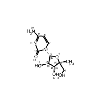 C[C@]1(CO)O[C@@H](n2ccc(N)nc2=O)[C@H](O)[C@@H]1O